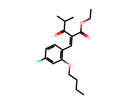 CCCCOc1cc(F)ccc1C=C(C(=O)OCC)C(=O)C(C)C